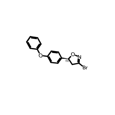 BrC1=NO[C@H](c2ccc(Oc3ccccc3)cc2)C1